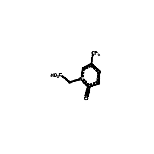 O=C(O)Cn1cc(C(F)(F)F)ccc1=O